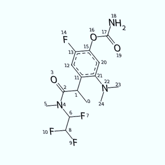 CC(C(=O)N(C)C(F)C(F)F)c1cc(F)c(OC(N)=O)cc1N(C)C